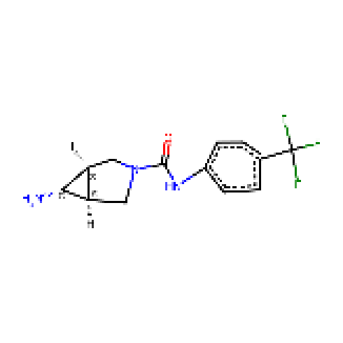 N[C@@H]1[C@H]2CN(C(=O)Nc3ccc(C(F)(F)F)cc3)C[C@@H]12